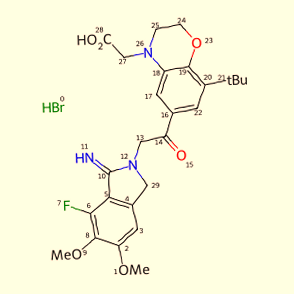 Br.COc1cc2c(c(F)c1OC)C(=N)N(CC(=O)c1cc3c(c(C(C)(C)C)c1)OCCN3CC(=O)O)C2